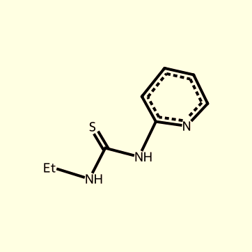 CCNC(=S)Nc1ccccn1